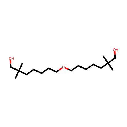 CC(C)(CO)CCCCCOCCCCCC(C)(C)CO